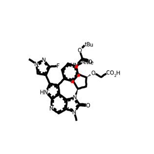 CNc1ccc(-c2c(-c3cn(C)nc3F)[nH]c3ncc4c(c23)n([C@H]2C[C@H](NC(=O)OC(C)(C)C)[C@H](OCC(=O)O)C2)c(=O)n4C)cc1